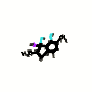 Cc1ccc2c(c1F)C(F)(I)C(C)C2